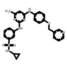 Cc1cc(Nc2ccc(OCc3cccnc3)cc2)nc(Nc2cccc(S(=O)(=O)NC3CC3)c2)n1